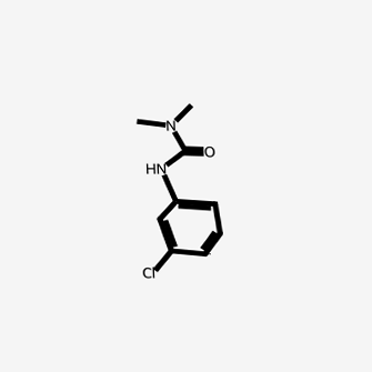 CN(C)C(=O)Nc1cc[c]c(Cl)c1